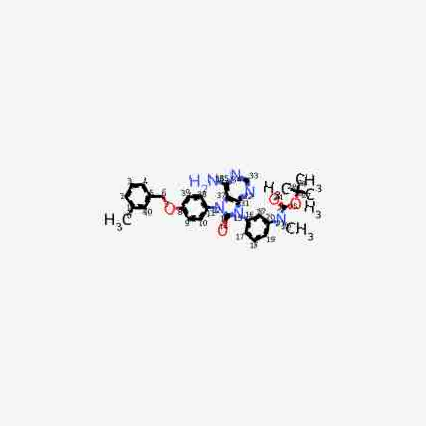 Cc1cccc(COc2ccc(-n3c(=O)n(-c4cccc(N(C)C(=O)OC(C)(C)C)c4)c4ncnc(N)c43)cc2)c1